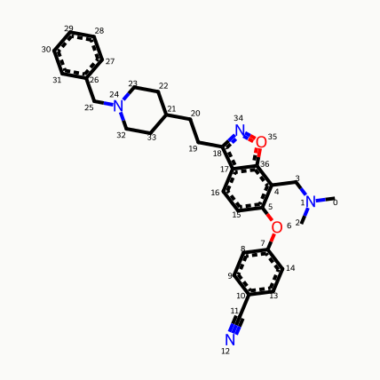 CN(C)Cc1c(Oc2ccc(C#N)cc2)ccc2c(CCC3CCN(Cc4ccccc4)CC3)noc12